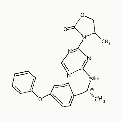 CC1COC(=O)N1c1ncnc(N[C@H](C)c2ccc(Oc3ccccc3)cc2)n1